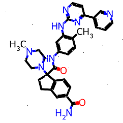 Cc1ccc(NC(=O)C2(N3CCN(C)CC3)CCc3cc(C(N)=O)ccc32)cc1Nc1nccc(-c2cccnc2)n1